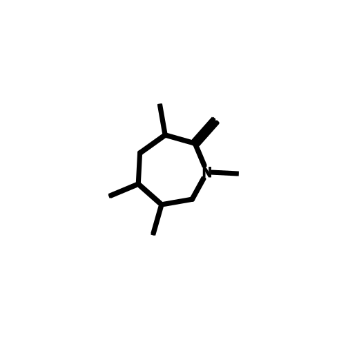 C=C1C(C)CC(C)C(C)CN1C